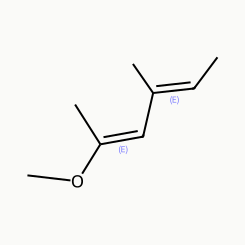 C/C=C(C)/C=C(\C)OC